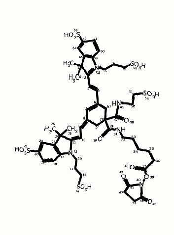 CC1(C)C(/C=C/C2=CC(=C/C=C3/N(CCCS(=O)(=O)O)c4ccc(S(=O)(=O)O)cc4C3(C)C)/CC(C(=O)NCCCCCC(=O)ON3C(=O)CCC3=O)(C(=O)NCCS(=O)(=O)O)C2)=[N+](CCCS(=O)(=O)O)c2ccc(S(=O)(=O)O)cc21